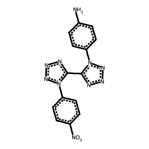 Nc1ccc(-n2nnnc2-c2nnnn2-c2ccc([N+](=O)[O-])cc2)cc1